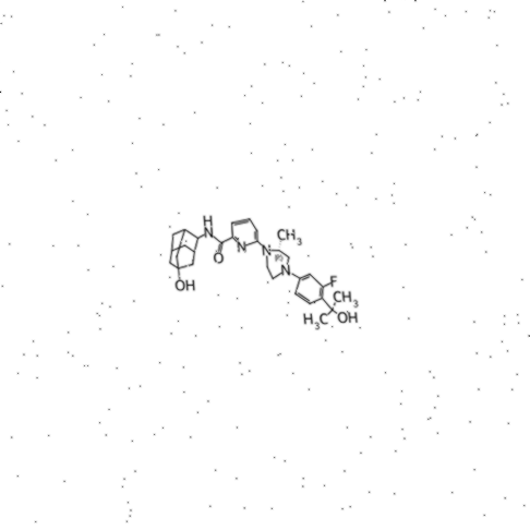 C[C@@H]1CN(c2ccc(C(C)(C)O)c(F)c2)CCN1c1cccc(C(=O)NC2C3CC4CC2CC(O)(C4)C3)n1